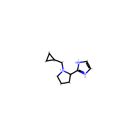 c1c[nH]c(C2CCCN2CC2CC2)n1